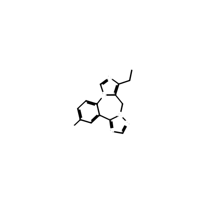 CCc1ncn2c1Cn1ncnc1-c1cc(F)ccc1-2